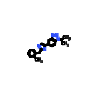 Cc1ccccc1CC1=NCC(c2ccc3c(c2)nnn3C(C)C)=N1